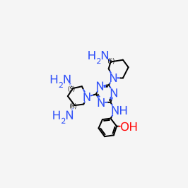 N[C@@H]1C[C@H](N)CN(c2nc(Nc3ccccc3O)nc(N3CCC[C@H](N)C3)n2)C1